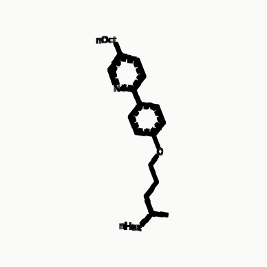 CCCCCCCCc1ccc(-c2ccc(OCCCC(C)CCCCCC)cc2)nc1